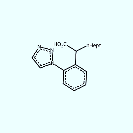 CCCCCCCC(C(=O)O)c1ccccc1-n1ccnn1